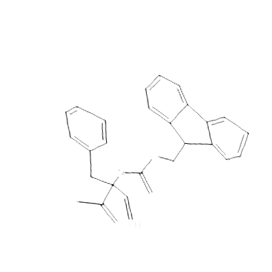 C=CC(Cc1ccccc1)(NC(=O)OCC1c2ccccc2-c2ccccc21)C(=O)O